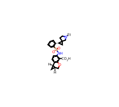 CCN1CCC2(C[C@@H]2c2ccccc2S(=O)(=O)Nc2ccc3c(c2C(=O)O)OC[C@@H]2C[C@H]32)C1